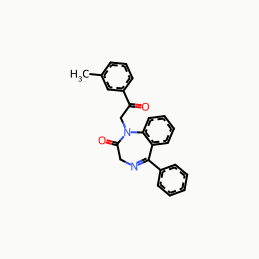 Cc1cccc(C(=O)CN2C(=O)CN=C(c3ccccc3)c3ccccc32)c1